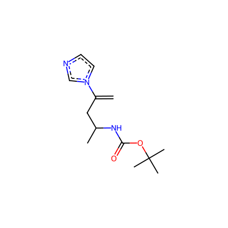 C=C(CC(C)NC(=O)OC(C)(C)C)n1ccnc1